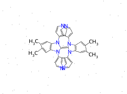 Cc1cc2c(cc1C)N(c1ccncc1)C(=C1N(c3ccncc3)c3cc(C)c(C)cc3N1c1ccncc1)N2c1ccncc1